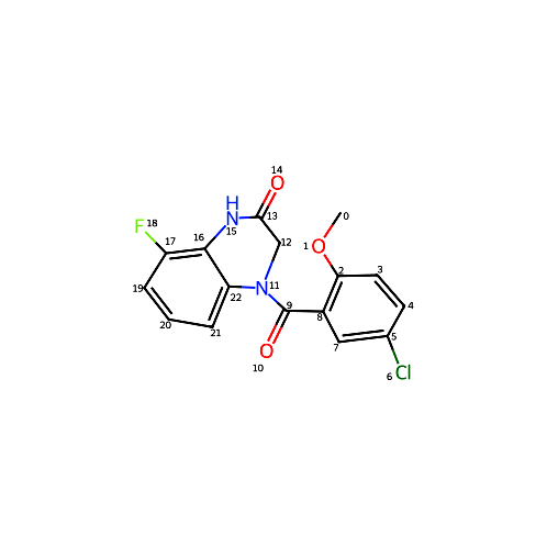 COc1ccc(Cl)cc1C(=O)N1CC(=O)Nc2c(F)cccc21